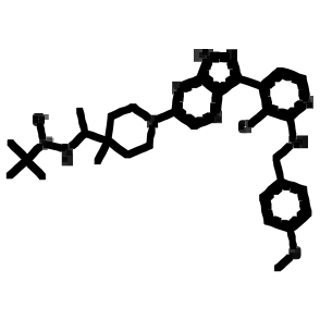 COc1ccc(CNc2nccc(-c3n[nH]c4nc(N5CCC(C)(C(C)N[S+]([O-])C(C)(C)C)CC5)cnc34)c2Cl)cc1